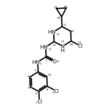 O=C(Nc1ccc(Cl)c(Cl)c1)NC1NC(Cl)CC(C2CC2)N1